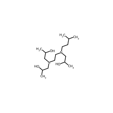 CC(C)CCN(CCN(CC(C)O)CC(C)O)CC(C)O